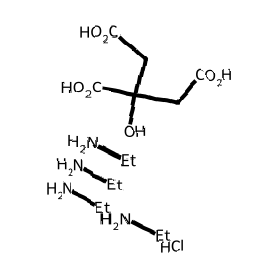 CCN.CCN.CCN.CCN.Cl.O=C(O)CC(O)(CC(=O)O)C(=O)O